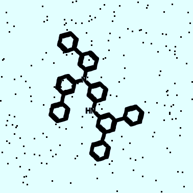 c1ccc(-c2cc(Nc3cccc(N(c4cccc(-c5ccccc5)c4)c4cccc(-c5ccccc5)c4)c3)cc(-c3ccccc3)c2)cc1